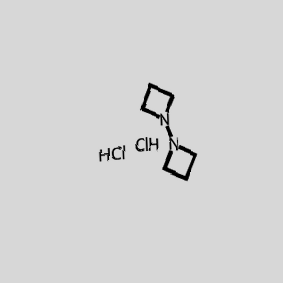 C1CN(N2CCC2)C1.Cl.Cl